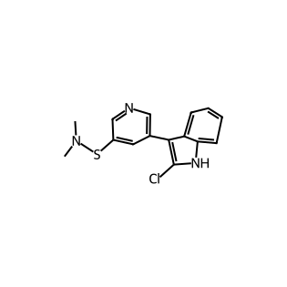 CN(C)Sc1cncc(-c2c(Cl)[nH]c3ccccc23)c1